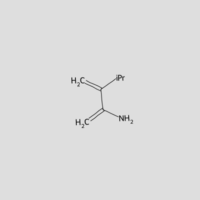 C=C(N)C(=C)C(C)C